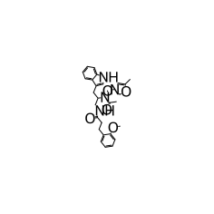 COc1ccccc1CCC(=O)NCC(Cc1c[nH]c2ccccc12)N(ON1C=C(C)OC1)C(C)=O